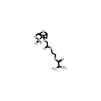 C=C(C)C(=O)SCCOC(=O)COC1C2CC3C(S2)C1OS3(=O)=O